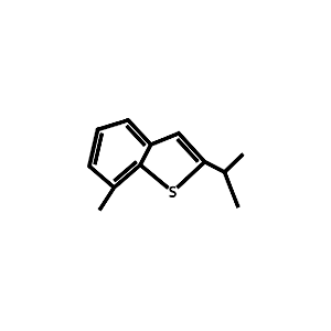 Cc1cccc2cc(C(C)C)sc12